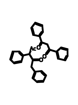 CC(=O)C(C(=O)Cc1ccccc1)c1ccccc1.O=C(CC(=O)c1ccccc1)c1ccccc1